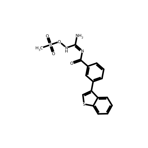 CS(=O)(=O)ONC(N)=NC(=O)c1cccc(-c2csc3ccccc23)c1